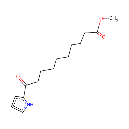 COC(=O)CCCCCCCCC(=O)c1ccc[nH]1